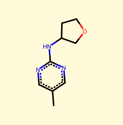 Cc1cnc(NC2CCOC2)nc1